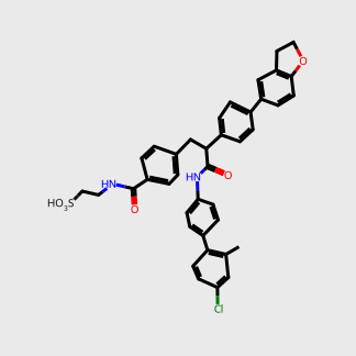 Cc1cc(Cl)ccc1-c1ccc(NC(=O)C(Cc2ccc(C(=O)NCCS(=O)(=O)O)cc2)c2ccc(-c3ccc4c(c3)CCO4)cc2)cc1